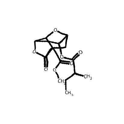 CCC(C)C(=O)OC1C2CC3(C(=O)OC)C(=O)OC1C3O2